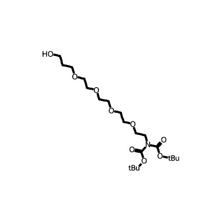 CC(C)(C)OC(=O)N(CCOCCOCCOCCOCCCO)C(=O)OC(C)(C)C